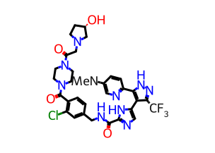 CNc1ccc(-c2[nH]nc(C(F)(F)F)c2-c2cnc(C(=O)NCc3ccc(C(=O)N4CCN(C(=O)CN5CC[C@H](O)C5)CC4)c(Cl)c3)[nH]2)nc1